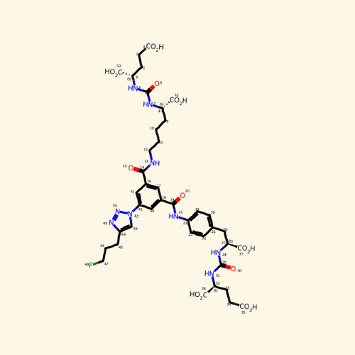 O=C(O)CC[C@H](NC(=O)N[C@@H](CCCCNC(=O)c1cc(C(=O)Nc2ccc(C[C@H](NC(=O)N[C@@H](CCC(=O)O)C(=O)O)C(=O)O)cc2)cc(-n2cc(CCCF)nn2)c1)C(=O)O)C(=O)O